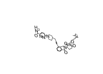 C[Si](C)(C)CCOCN1C(=O)CCC(N2Cc3c(C#CCC4CCN(c5ccc(C(N)=O)nn5)CC4)cccc3C2=O)C1=O